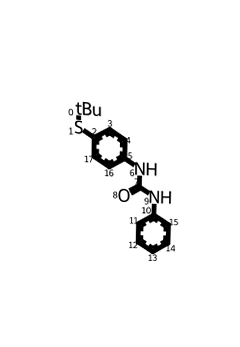 CC(C)(C)Sc1ccc(NC(=O)Nc2ccccc2)cc1